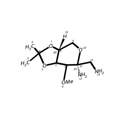 COC1C2OC(C)(C)O[C@@H]2CO[C@@]1(N)CN